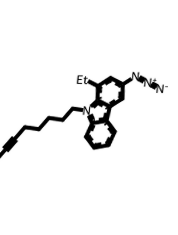 CCCC#CCCCCCn1c2ccccc2c2cc(N=[N+]=[N-])cc(CC)c21